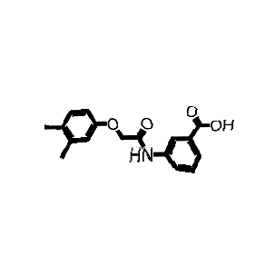 Cc1ccc(OCC(=O)Nc2cccc(C(=O)O)c2)cc1C